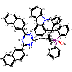 O=P1(c2ccccc2)c2ccccc2C2(c3ccccc3-n3c4ccccc4c4cccc2c43)c2cc(-c3nc(-c4ccc5ccccc5c4)nc(-c4ccc5ccccc5c4)n3)ccc21